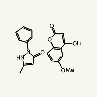 COc1ccc2oc(=O)cc(O)c2c1.Cc1cc(=O)n(-c2ccccc2)[nH]1